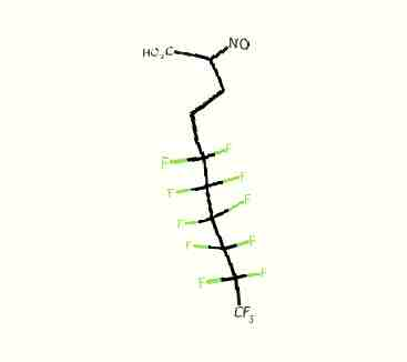 O=NC(CCC(F)(F)C(F)(F)C(F)(F)C(F)(F)C(F)(F)C(F)(F)F)C(=O)O